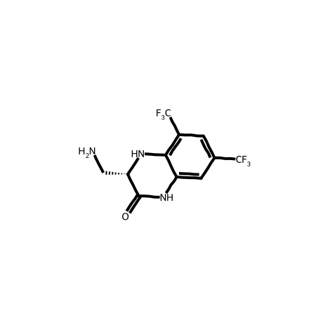 NC[C@@H]1Nc2c(cc(C(F)(F)F)cc2C(F)(F)F)NC1=O